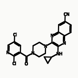 N#Cc1ccc2nc(NC3CC3)c(N3CCN(C(=O)c4cc(Cl)cnc4Cl)CC3)nc2c1